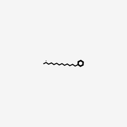 C[CH]CCCCCCCCCCCc1ccccc1